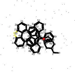 CCC1CC2CC(C1)C(c1c3ccccc3c(-c3cccc4sc5cccc(-c6c7ccccc7c(-c7ccccc7)c7ccccc67)c5c34)c3ccccc13)C2